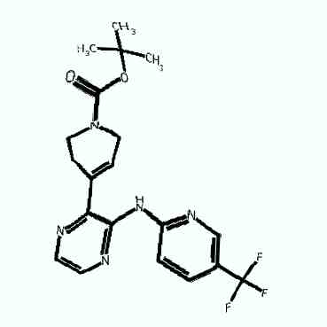 CC(C)(C)OC(=O)N1CC=C(c2nccnc2Nc2ccc(C(F)(F)F)cn2)CC1